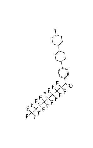 C[C@H]1CC[C@H](C2CCC(c3ccc(C(=O)C(F)(F)C(F)(F)C(F)(F)C(F)(F)C(F)(F)C(F)(F)C(F)(F)C(F)(F)F)cc3)CC2)CC1